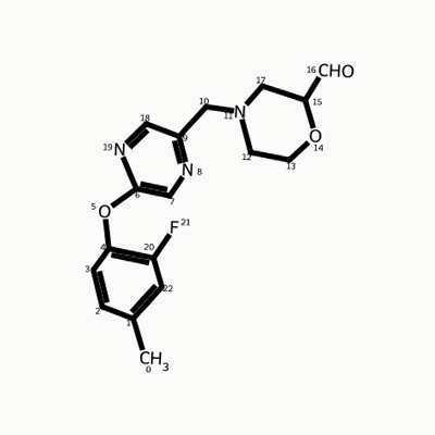 Cc1ccc(Oc2cnc(CN3CCOC(C=O)C3)cn2)c(F)c1